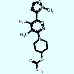 Cc1c(-c2ccnn2C)nnc(N2CCC(OC(N)=O)CC2)c1C